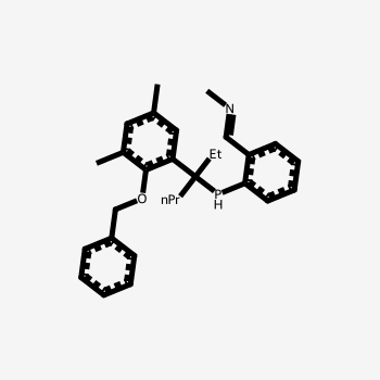 CCCC(CC)(Pc1ccccc1/C=N/C)c1cc(C)cc(C)c1OCc1ccccc1